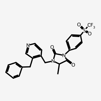 CC1C(=O)N(c2ccc(S(=O)(=O)C(F)(F)F)cc2)C(=O)N1Cc1ccncc1Cc1ccccc1